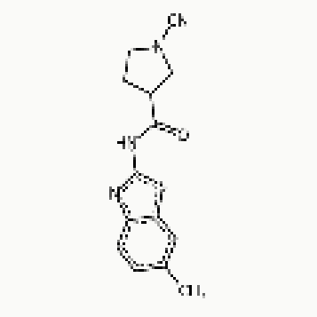 Cc1ccc2nc(NC(=O)C3CCN(C#N)C3)sc2c1